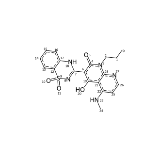 CCCn1c(=O)c(C2=NS(=O)(=O)c3ccccc3N2)c(O)c2c(NC)ccnc21